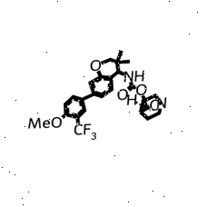 COc1ccc(-c2ccc3c(c2)OCC(C)(C)C3NC(=O)O[C@H]2CN3CCC2CC3)cc1C(F)(F)F